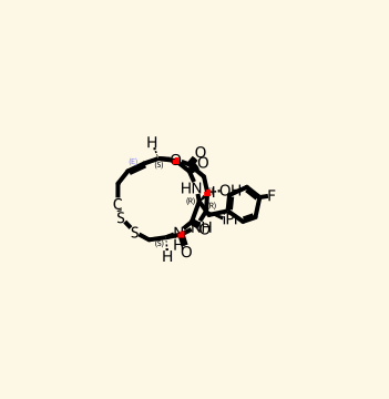 CC(C)[C@H]1NC(=O)[C@H]2CSSCC/C=C/[C@H](CC(=O)N[C@H](Cc3ccc(F)cc3)C(=O)N2)OC(=O)C[C@@H]1O